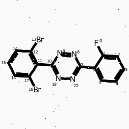 Fc1ccccc1-c1nnc(-c2c(Br)cccc2Br)nn1